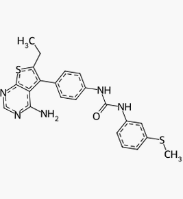 CCc1sc2ncnc(N)c2c1-c1ccc(NC(=O)Nc2cccc(SC)c2)cc1